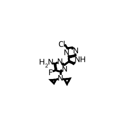 Nc1nc(-c2c[nH]c3ncc(Cl)nc23)nc(N(C2CC2)C2CC2)c1F